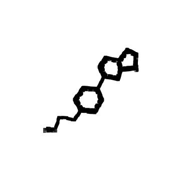 CCCCCCCCCCCCc1ccc(-c2ccc3ccsc3c2)cc1